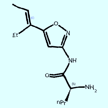 C/C=C(\CC)c1cc(NC(=O)[C@@H](N)CCC)no1